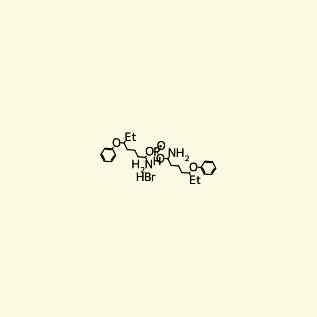 Br.CCC(CCCC(N)O[PH](=O)OC(N)CCCC(CC)Oc1ccccc1)Oc1ccccc1